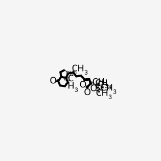 C[C@H](CCC1=C[C@@](C)(O[Si](C)(C)C)C(=O)O1)[C@H]1CCC2C(=O)CCC[C@@]21C